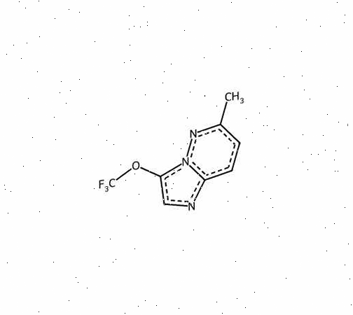 Cc1ccc2ncc(OC(F)(F)F)n2n1